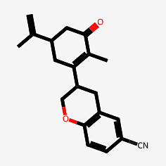 C=C(C)C1CC(=O)C(C)=C(C2COc3ccc(C#N)cc3C2)C1